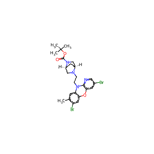 Cc1cc2c(cc1Br)Oc1cc(Br)cnc1N2CCN1C[C@@H]2C[C@H]1CN2C(=O)OC(C)(C)C